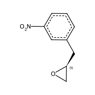 O=[N+]([O-])c1cccc(C[C@H]2CO2)c1